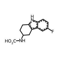 O=C(O)NC1CCc2[nH]c3ccc(F)cc3c2C1